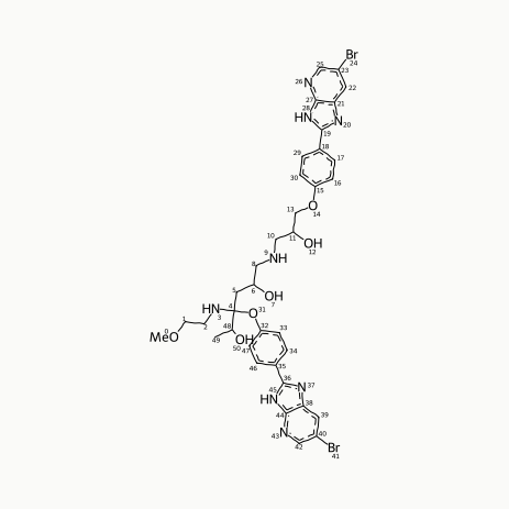 COCCNC(CC(O)CNCC(O)COc1ccc(-c2nc3cc(Br)cnc3[nH]2)cc1)(Oc1ccc(-c2nc3cc(Br)cnc3[nH]2)cc1)C(C)O